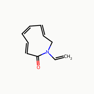 C=CN1C/C=C/C=C\C=C\C1=O